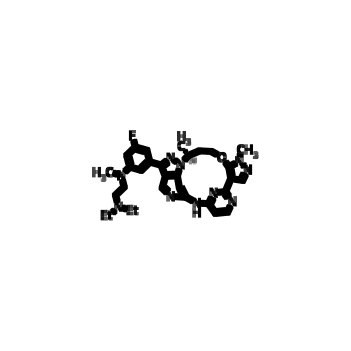 CCN(CC)CCN(C)c1cc(F)cc(-c2nn3c4cc(ncc24)Nc2ccnc(n2)-c2cnn(C)c2OCC[C@@H]3C)c1